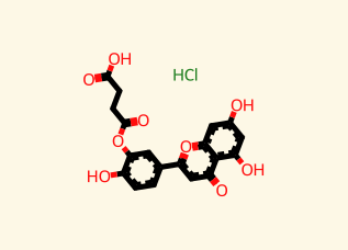 Cl.O=C(O)CCC(=O)Oc1cc(-c2cc(=O)c3c(O)cc(O)cc3o2)ccc1O